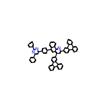 c1ccc(-c2cc(-c3ccc(-c4cc5c(-c6ccc7c8ccccc8c8ccccc8c7c6)cc(-c6ccc7c8ccccc8c8ccccc8c7c6)nc5c5ccccc45)cc3)nc(-c3ccccc3)n2)cc1